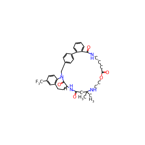 CC1(C)CC(=O)N[C@@H]2CCc3cc(C(F)(F)F)ccc3N(Cc3ccc(cc3)-c3ccccc3C(=O)NCCCC(=O)OCCN1)C2=O